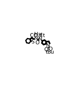 CCOC(=O)c1c(NC(=O)Nc2ccc3c(ccn3C(=O)OC(C)(C)C)c2)sc2c1CCCC2